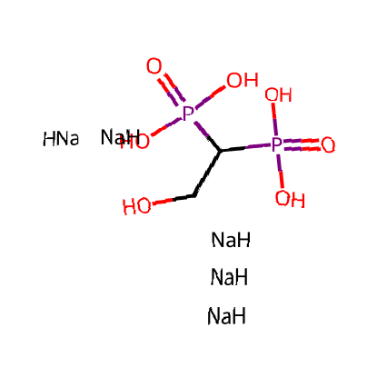 O=P(O)(O)C(CO)P(=O)(O)O.[NaH].[NaH].[NaH].[NaH].[NaH]